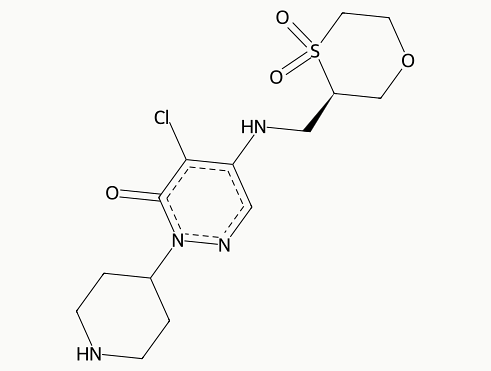 O=c1c(Cl)c(NC[C@@H]2COCCS2(=O)=O)cnn1C1CCNCC1